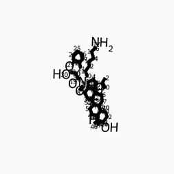 C=C(C)[C@@H]1CC[C@]2(C(=O)N(CCCCCCCN)C(=O)[C@@H](Cc3ccccc3)C(=O)O)CC[C@]3(C)[C@H](CCC4[C@@]5(C)CC[C@H](O)C(C)(C)[C@@H]5CC[C@]43C)[C@@H]12